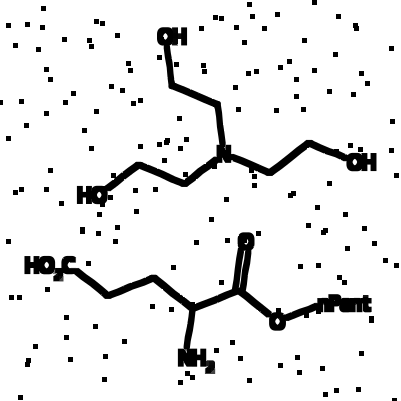 CCCCCOC(=O)C(N)CCC(=O)O.OCCN(CCO)CCO